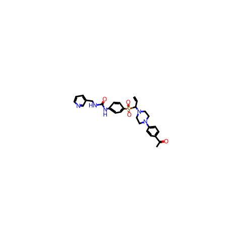 C=CC(N1CCN(c2ccc(C(C)=O)cc2)CC1)S(=O)(=O)c1ccc(NC(=O)NCc2cccnc2)cc1